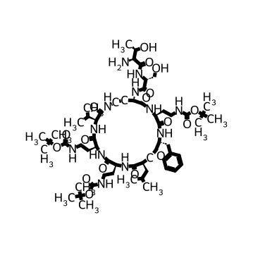 CC(C)C[C@@H]1CC(=O)[C@@H](Cc2ccccc2)NC(=O)[C@H](CCNC(=O)OC(C)(C)C)NC(=O)[C@@H](NC(=O)[C@@H](CO)NC(=O)[C@@H](N)[C@@H](C)O)CCNC(=O)[C@H](C(C)C)NC(=O)[C@H](CCNC(=O)OC(C)(C)C)NC(=O)[C@H](CCNC(=O)OC(C)(C)C)NC1=O